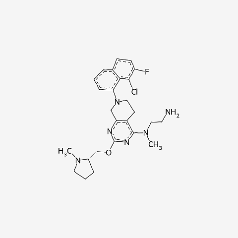 CN(CCN)c1nc(OC[C@@H]2CCCN2C)nc2c1CCN(c1cccc3ccc(F)c(Cl)c13)C2